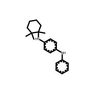 CC1(C)CCCCC1(C)Nc1ccc(Nc2ccccc2)cc1